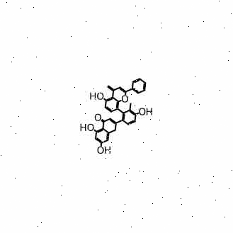 C=C1C=C(c2ccccc2)Oc2c(-c3c(C4=CC(=O)c5c(O)cc(O)cc5C4)ccc(O)c3C)ccc(O)c21